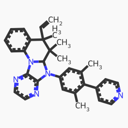 C=CC1(C)c2ccccc2N2c3nccnc3N(c3cc(C)c(-c4ccncc4)c(C)c3)C2C1(C)C